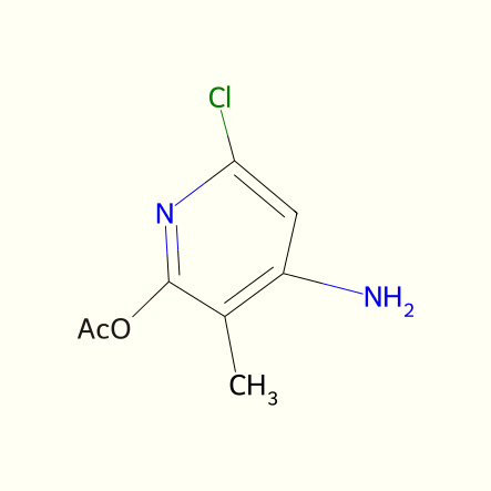 CC(=O)Oc1nc(Cl)cc(N)c1C